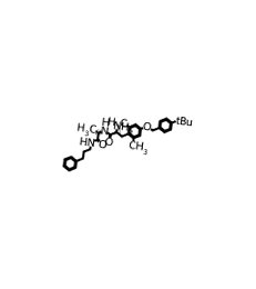 Cc1cc(OCc2ccc(C(C)(C)C)cc2)cc(C)c1C[C@H](N)C(=O)N[C@H](C)C(=O)NCCCc1ccccc1